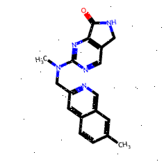 Cc1ccc2cc(CN(C)c3ncc4c(n3)C(=O)NC4)ncc2c1